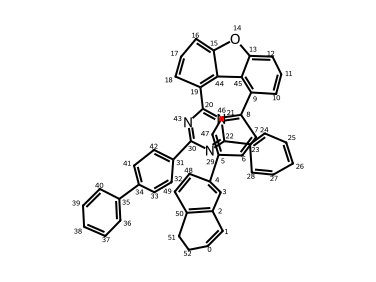 C1=Cc2cc(-c3ccc(-c4cccc5oc6cccc(-c7nc(-c8ccccc8)nc(-c8ccc(-c9ccccc9)cc8)n7)c6c45)cc3)ccc2CC1